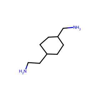 NCCC1CCC(CN)CC1